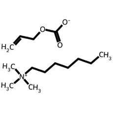 C=CCOC(=O)[O-].CCCCCCC[N+](C)(C)C